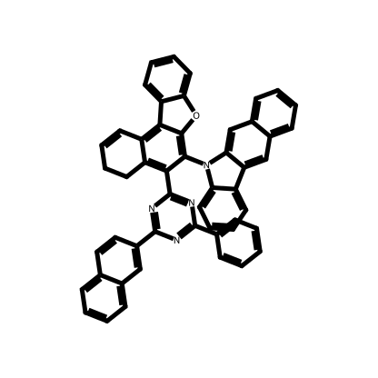 C1=Cc2c(c(-c3nc(-c4ccccc4)nc(-c4ccc5ccccc5c4)n3)c(-n3c4ccccc4c4cc5ccccc5cc43)c3oc4ccccc4c23)CC1